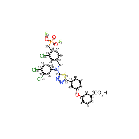 O=C(O)c1cccc(Oc2cccc(-c3nnc(N(Cc4ccc(CP(=O)(OF)OF)c(Cl)c4)c4ccc(Cl)c(Cl)c4)s3)c2)c1